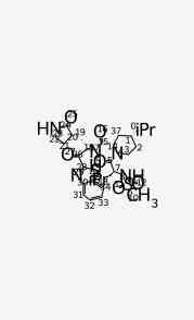 CC(C)[C@@H]1CCN(C(=O)[C@@H](NS(C)(=O)=O)C(C)C)[C@H](C(=O)N[C@@H](C[C@@H]2CCNC2=O)C(=O)c2nc3ccccc3s2)C1